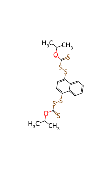 CC(C)OC(=S)SSc1ccc(SSC(=S)OC(C)C)c2ccccc12